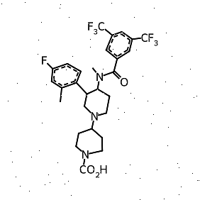 Cc1cc(F)ccc1C1CN(C2CCN(C(=O)O)CC2)CCC1N(C)C(=O)c1cc(C(F)(F)F)cc(C(F)(F)F)c1